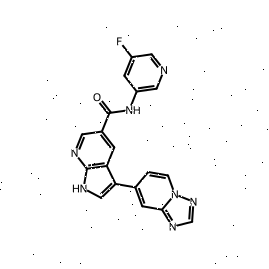 O=C(Nc1cncc(F)c1)c1cnc2[nH]cc(-c3ccn4ncnc4c3)c2c1